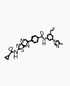 Cc1cn(-c2cc(CF)cc(NC(=O)c3ccc(-c4cnc5nc(NC(=O)C6CC6)sc5n4)cc3)c2)cn1